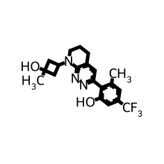 Cc1cc(C(F)(F)F)cc(O)c1-c1cc2c(nn1)N(C1CC(C)(O)C1)CCC2